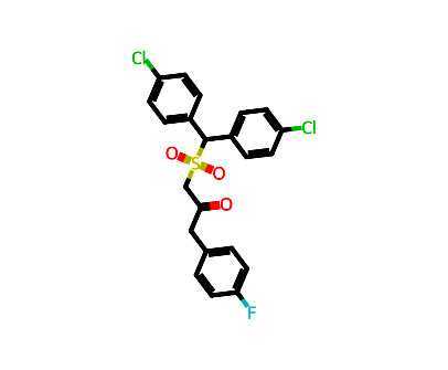 O=C(Cc1ccc(F)cc1)CS(=O)(=O)C(c1ccc(Cl)cc1)c1ccc(Cl)cc1